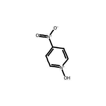 O=[N+]([O-])c1cc[n+](O)cc1